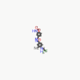 N#Cc1cc(-c2nnc(-c3ccc4oc(=O)[nH]c4c3)o2)ccc1NCC(F)F